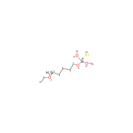 CCO[SiH2]CCCCO[Si](S)(OC)OC